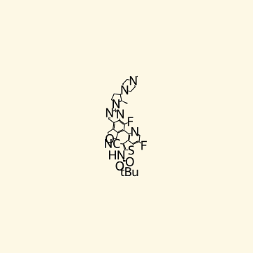 C[C@@H]1[C@H](N2CCN(C)CC2)CCN1c1ncc2c3c(c(-c4ncc(F)c5sc(NC(=O)OC(C)(C)C)c(C#N)c45)c(F)c2n1)COC3